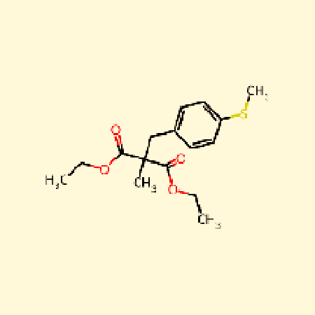 CCOC(=O)C(C)(Cc1ccc(SC)cc1)C(=O)OCC